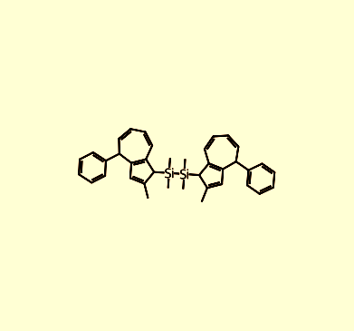 CC1=CC2=C(C=CC=CC2c2ccccc2)C1[Si](C)(C)[Si](C)(C)C1C(C)=CC2=C1C=CC=CC2c1ccccc1